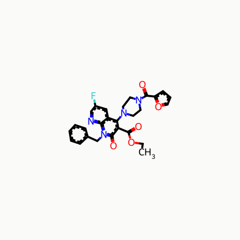 CCOC(=O)c1c(N2CCN(C(=O)c3ccco3)CC2)c2cc(F)cnc2n(Cc2ccccc2)c1=O